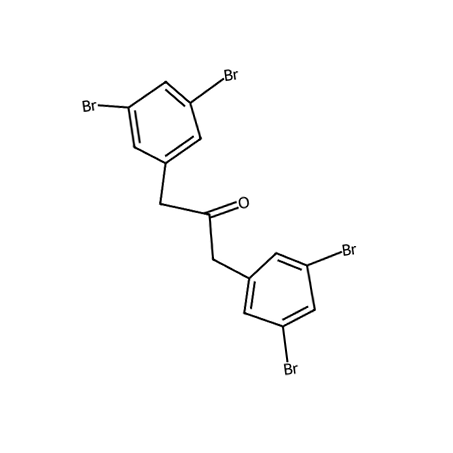 O=C(Cc1cc(Br)cc(Br)c1)Cc1cc(Br)cc(Br)c1